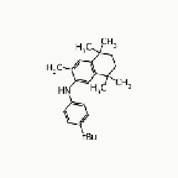 Cc1cc2c(cc1Nc1ccc(C(C)(C)C)cc1)C(C)(C)CCC2(C)C